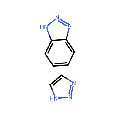 c1c[nH]nn1.c1ccc2[nH]nnc2c1